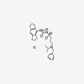 CC(C)N(CCCS(=O)(=O)NC(=O)Nc1c2c(cc3c1CCC3)CCC2)Cc1ccccc1.[K]